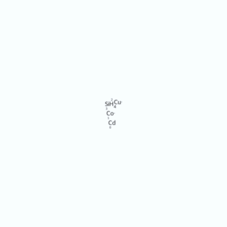 [Cd].[Co].[Cu].[SiH4]